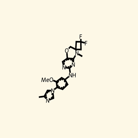 COc1cc(Nc2ncc3c(n2)N(C)C2(CO3)CC(F)(F)C2)ccc1-n1cnc(C)c1